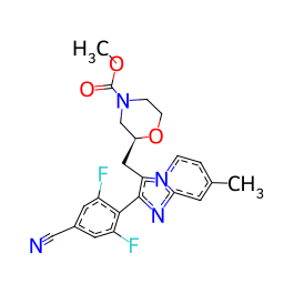 COC(=O)N1CCO[C@@H](Cc2c(-c3c(F)cc(C#N)cc3F)nc3cc(C)ccn23)C1